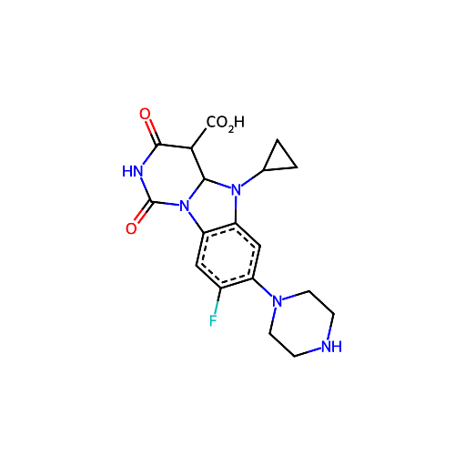 O=C(O)C1C(=O)NC(=O)N2c3cc(F)c(N4CCNCC4)cc3N(C3CC3)C12